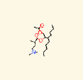 CCCCCC(CCCC)C(COC(C)=O)OC(=O)C(C)CCN(C)C